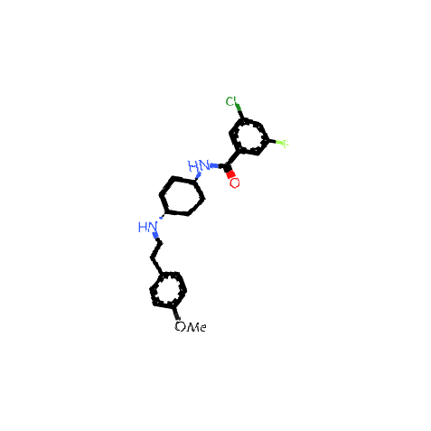 COc1ccc(CCN[C@H]2CC[C@H](NC(=O)c3cc(F)cc(Cl)c3)CC2)cc1